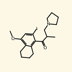 COc1cc(I)c(C(=O)C(C)CN2CCCC2)c2c1CCCC2